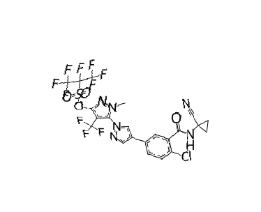 Cn1nc(OS(=O)(=O)C(F)(C(F)(F)F)C(F)(F)F)c(C(F)(F)F)c1-n1cc(-c2ccc(Cl)c(C(=O)NC3(C#N)CC3)c2)cn1